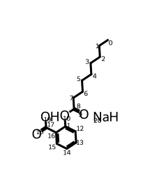 CCCCCCCCC(=O)Oc1ccccc1C(=O)O.[NaH]